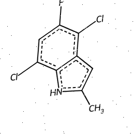 Cc1cc2c(Cl)c(F)cc(Cl)c2[nH]1